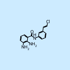 Nc1cccc(C(=O)Nc2cccc(C=CCl)c2)c1N